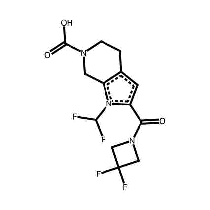 O=C(O)N1CCc2cc(C(=O)N3CC(F)(F)C3)n(C(F)F)c2C1